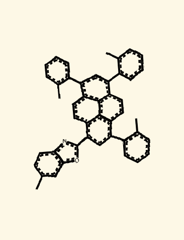 Cc1ccc2nc(-c3cc(-c4ccccc4C)c4ccc5c(-c6ccccc6C)cc(-c6ccccc6C)c6ccc3c4c65)oc2c1